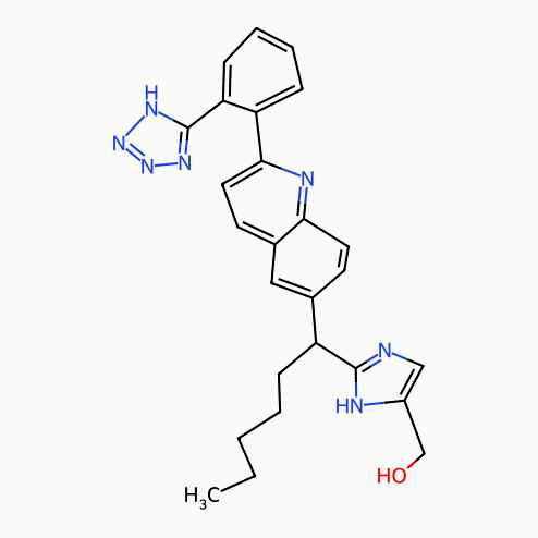 CCCCCC(c1ccc2nc(-c3ccccc3-c3nnn[nH]3)ccc2c1)c1ncc(CO)[nH]1